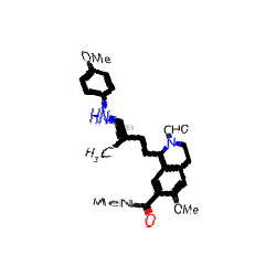 CNC(=O)c1cc2c(cc1OC)CCN(C=O)C2CC/C(C)=C/Nc1ccc(OC)cc1